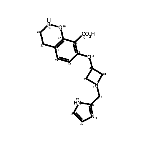 O=C(O)c1c(OC2CN(Cc3ncc[nH]3)C2)ccc2c1OBCC2